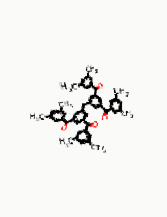 Cc1cc(C)cc(C(=O)c2cc(Cc3cc(C(=O)c4cc(C)cc(C)c4)cc(C(=O)c4cc(C)cc(C)c4)c3)cc(C(=O)c3cc(C)cc(C)c3)c2)c1